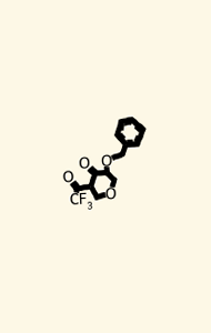 O=C1C(OCc2ccccc2)COCC1C(=O)C(F)(F)F